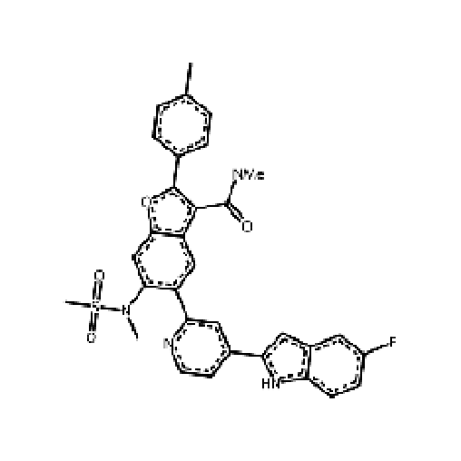 CNC(=O)c1c(-c2ccc(C)cc2)oc2cc(N(C)S(C)(=O)=O)c(-c3cc(-c4cc5cc(F)ccc5[nH]4)ccn3)cc12